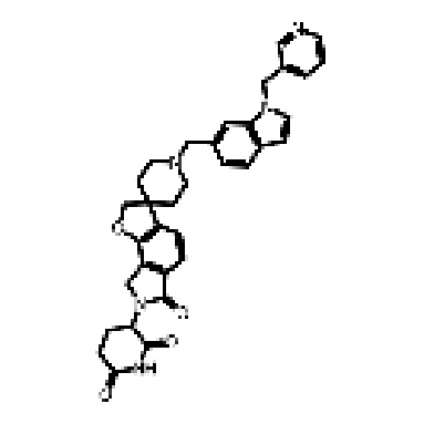 O=C1CCC(N2Cc3c(ccc4c3OCC43CCN(Cc4ccc5ccn(Cc6cccnc6)c5c4)CC3)C2=O)C(=O)N1